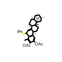 CC(=O)Oc1cc2c(c(C)c1OC(C)=O)C(SC(C)C)C=C1[C@@]2(C)CC[C@@]2(C)[C@@H]3C[C@@H](C)CC[C@]3(C)CC[C@]12C